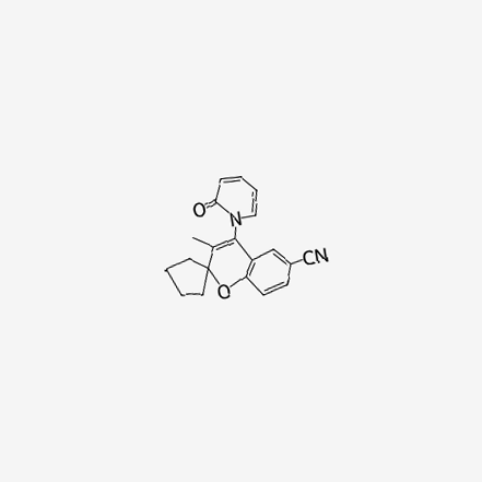 CC1=C(n2ccccc2=O)c2cc(C#N)ccc2OC12CCCC2